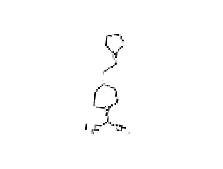 CC(C)N1CCC(CCN2CCCC2)CC1